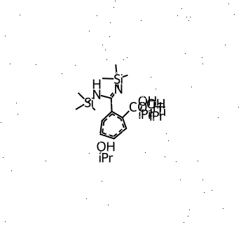 CC(C)O.CC(C)O.CC(C)O.C[Si](C)(C)N=C(N[Si](C)(C)C)c1ccccc1C(=O)O.[Ti]